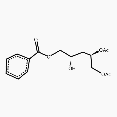 CC(=O)OC[C@@H](C[C@H](O)COC(=O)c1ccccc1)OC(C)=O